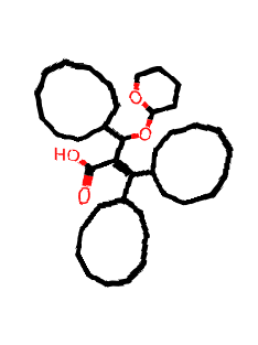 O=C(O)C(=C(C1CCCCCCCCC1)C1CCCCCCCCC1)C(OC1CCCCO1)C1CCCCCCCCC1